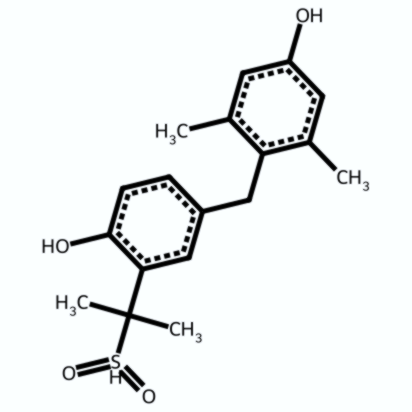 Cc1cc(O)cc(C)c1Cc1ccc(O)c(C(C)(C)[SH](=O)=O)c1